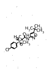 CC(C)(C)c1cc(NC(=O)C(C)(C)S(=O)(=O)c2ccc(Cl)cc2)no1